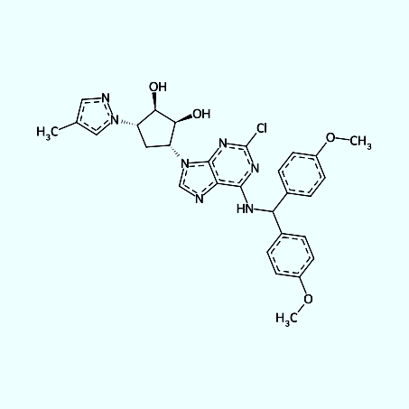 COc1ccc(C(Nc2nc(Cl)nc3c2ncn3[C@@H]2C[C@H](n3cc(C)cn3)[C@@H](O)[C@H]2O)c2ccc(OC)cc2)cc1